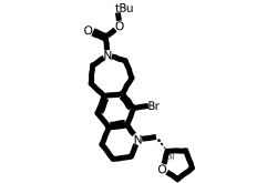 CC(C)(C)OC(=O)N1CCc2cc3c(c(Br)c2CC1)N(C[C@@H]1CCCO1)CCC3